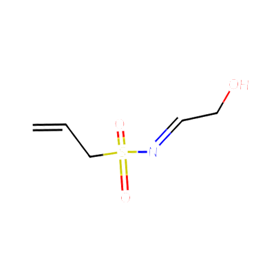 C=CCS(=O)(=O)N=CCO